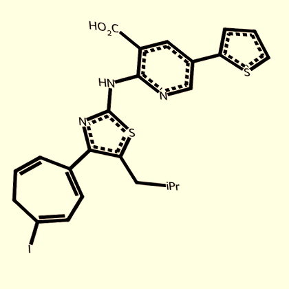 CC(C)Cc1sc(Nc2ncc(-c3cccs3)cc2C(=O)O)nc1C1=CC=C(I)CC=C1